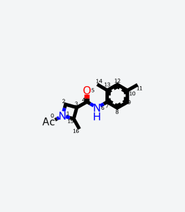 CC(=O)N1CC(C(=O)Nc2ccc(C)cc2C)C1C